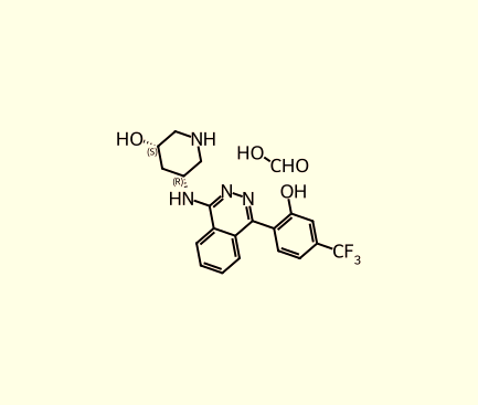 O=CO.Oc1cc(C(F)(F)F)ccc1-c1nnc(N[C@H]2CNC[C@@H](O)C2)c2ccccc12